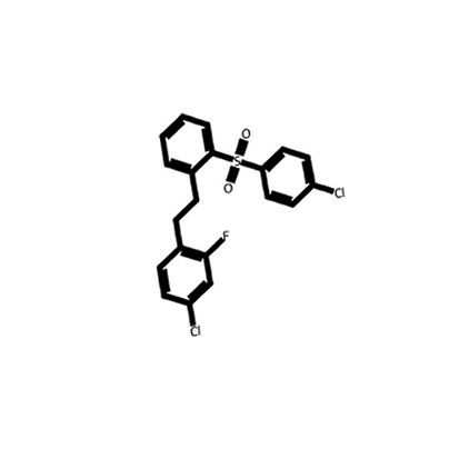 O=S(=O)(c1ccc(Cl)cc1)c1ccccc1CCc1ccc(Cl)cc1F